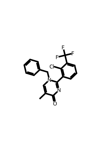 Cc1cn(Cc2ccccc2)c(-c2cccc(C(F)(F)F)c2Cl)nc1=O